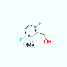 COc1c(F)ccc(F)c1CO